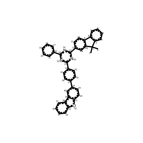 CC1(C)c2ccccc2-c2ccc(-c3nc(-c4ccccc4)nc(-c4ccc(-c5ccc6oc7ccccc7c6c5)cc4)n3)cc21